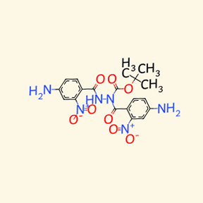 CC(C)(C)OC(=O)N(NC(=O)c1ccc(N)cc1[N+](=O)[O-])C(=O)c1ccc(N)cc1[N+](=O)[O-]